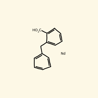 O=C(O)c1ccccc1Cc1ccccc1.[Nd]